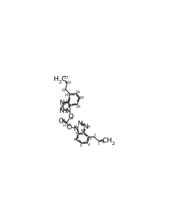 C=CCc1cccc2c1nnn2OC(=O)On1nnc2c(CC=C)cccc21